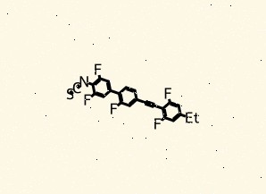 CCc1cc(F)c(C#Cc2ccc(-c3cc(F)c(N=C=S)c(F)c3)c(F)c2)c(F)c1